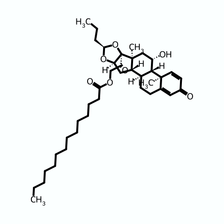 CCCCCCCCCCCCCC(=O)OCC(=O)[C@@]12O[C@H](CCC)O[C@@H]1C[C@H]1[C@@H]3CCC4=CC(=O)C=C[C@]4(C)[C@H]3[C@@H](O)C[C@@]12C